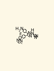 Cc1ccnc(Oc2ccc(-c3cnc(Nc4cnn(C)c4)nc3-c3ccc(N)cc3)cc2F)n1